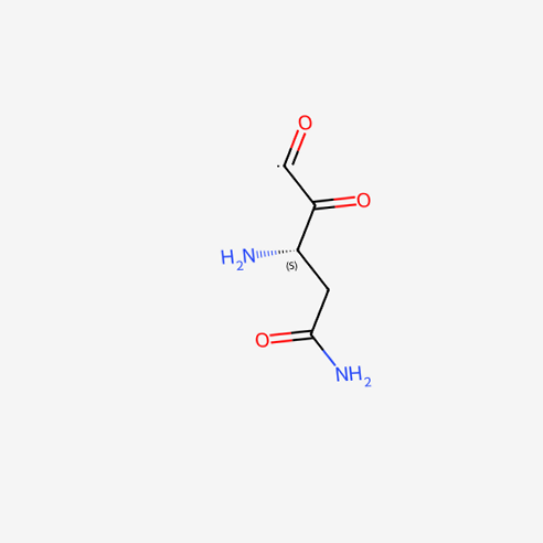 NC(=O)C[C@H](N)C(=O)[C]=O